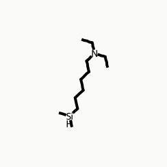 CCN(CC)CCCCCC[SiH](C)C